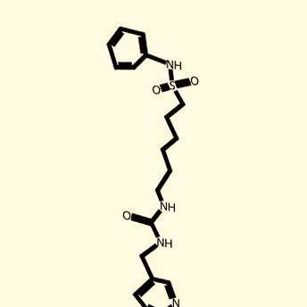 O=C(NCCCCCCS(=O)(=O)Nc1ccccc1)NCc1cccnc1